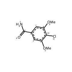 COc1cc(C(N)=O)cc(OC)c1Cl